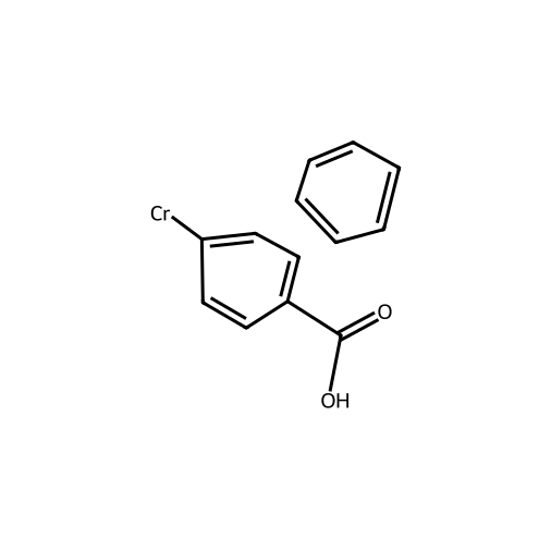 O=C(O)c1cc[c]([Cr])cc1.c1ccccc1